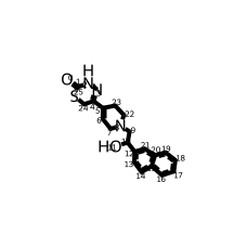 O=C1NN=C(C2=CCN(CC(O)c3ccc4ccccc4c3)CC2)CS1